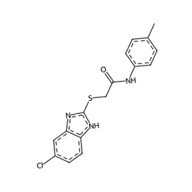 Cc1ccc(NC(=O)CSc2nc3cc(Cl)ccc3[nH]2)cc1